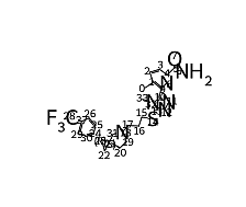 Cc1ccc(C(N)=O)nc1-c1nnc(SCCCN2CC[C@]3(C[C@@H]3c3ccc(C(F)(F)F)cc3)C2)n1C